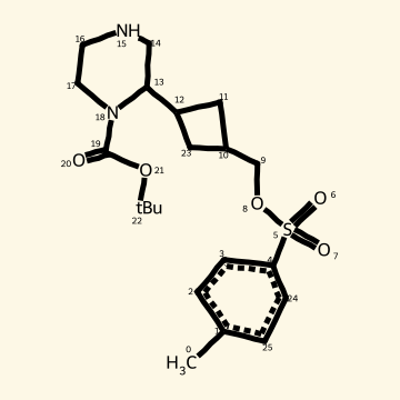 Cc1ccc(S(=O)(=O)OCC2CC(C3CNCCN3C(=O)OC(C)(C)C)C2)cc1